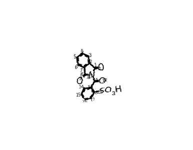 O=C1c2ccccc2C(=O)N1C(=O)c1ccccc1S(=O)(=O)O